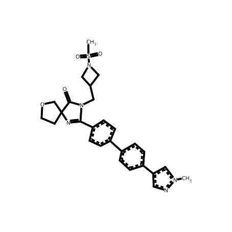 Cn1cc(-c2ccc(-c3ccc(C4=NC5(CCOC5)C(=O)N4CC4CN(S(C)(=O)=O)C4)cc3)cc2)cn1